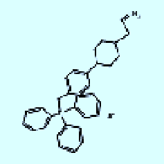 C=CCC1CCC(c2ccc(C[P+](c3ccccc3)(c3ccccc3)c3ccccc3)cc2)CC1.[Br-]